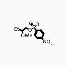 CCC(COS(=O)(=O)c1ccc([N+](=O)[O-])cc1)OC